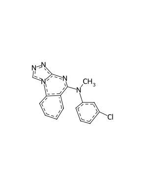 CN(c1cccc(Cl)c1)c1nc2nncn2c2ccccc12